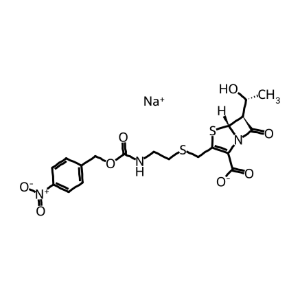 C[C@@H](O)[C@H]1C(=O)N2C(C(=O)[O-])=C(CSCCNC(=O)OCc3ccc([N+](=O)[O-])cc3)S[C@H]12.[Na+]